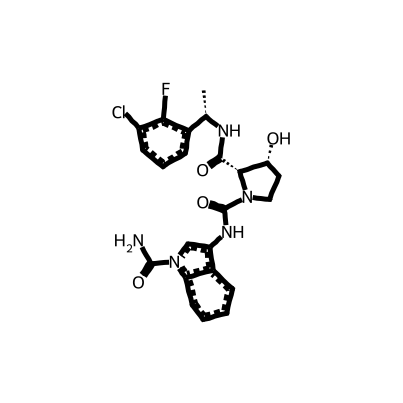 C[C@H](NC(=O)[C@@H]1[C@H](O)CCN1C(=O)Nc1cn(C(N)=O)c2ccccc12)c1cccc(Cl)c1F